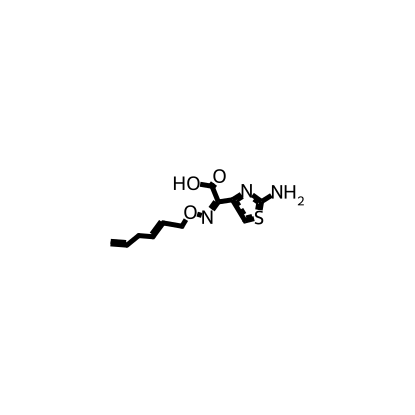 C=CCC=CCON=C(C(=O)O)c1csc(N)n1